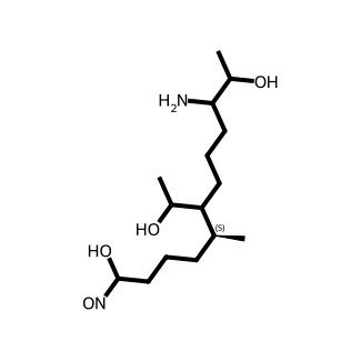 CC(O)C(N)CCCC(C(C)O)[C@@H](C)CCCC(O)N=O